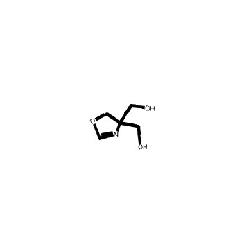 OCC1(CO)COC=N1